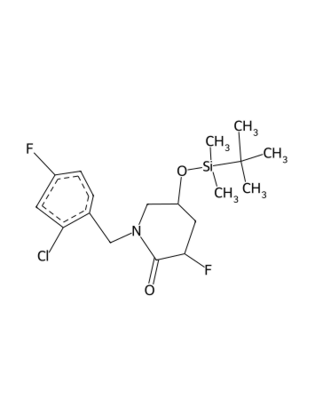 CC(C)(C)[Si](C)(C)OC1CC(F)C(=O)N(Cc2ccc(F)cc2Cl)C1